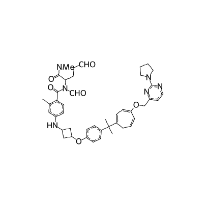 CNC(=O)C(CCC=O)N(C=O)C(=O)c1ccc(NC2CC(Oc3ccc(C(C)(C)C4=CC=C(OCc5ccnc(N6CCCC6)n5)C=CC4)cc3)C2)cc1C